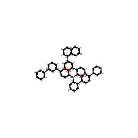 c1ccc(-c2ccc(-c3ccccc3N(c3ccc(-c4cccc(-c5ccccc5)c4)cc3)c3ccccc3-c3cccc(-c4cccc5ccccc45)c3)cc2)cc1